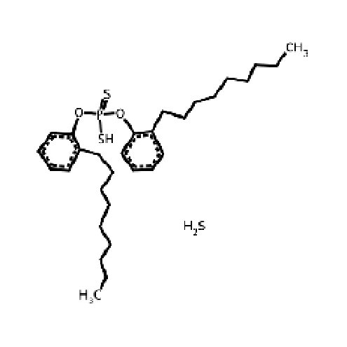 CCCCCCCCCc1ccccc1OP(=S)(S)Oc1ccccc1CCCCCCCCC.S